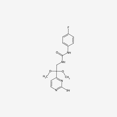 COC(CNC(=O)Nc1ccc(F)cc1)(OC)c1ccnc(S)n1